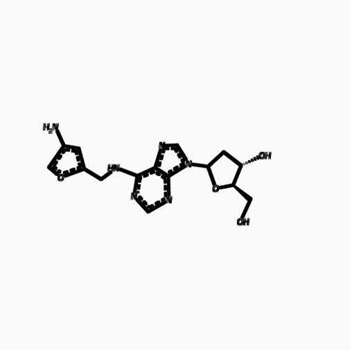 Nc1coc(CNc2ncnc3c2ncn3C2C[C@H](O)[C@@H](CO)O2)c1